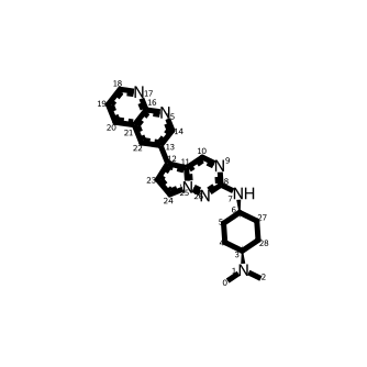 CN(C)[C@H]1CC[C@@H](Nc2ncc3c(-c4cnc5ncccc5c4)ccn3n2)CC1